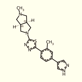 Cc1cc(-c2cn[nH]c2)ccc1-c1nnc(N2C[C@H]3CN(C)C[C@H]3C2)s1